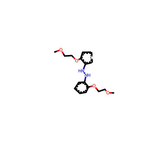 COCCOc1ccccc1NNc1ccccc1OCCOC